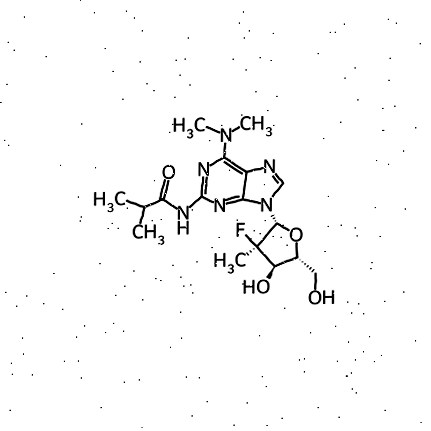 CC(C)C(=O)Nc1nc(N(C)C)c2ncn([C@@H]3O[C@H](CO)[C@@H](O)[C@@]3(C)F)c2n1